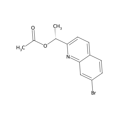 CC(=O)O[C@H](C)c1ccc2ccc(Br)cc2n1